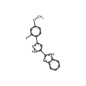 COc1ccc(-c2cc(-c3nc4ccccc4[nH]3)[nH]n2)c(F)c1